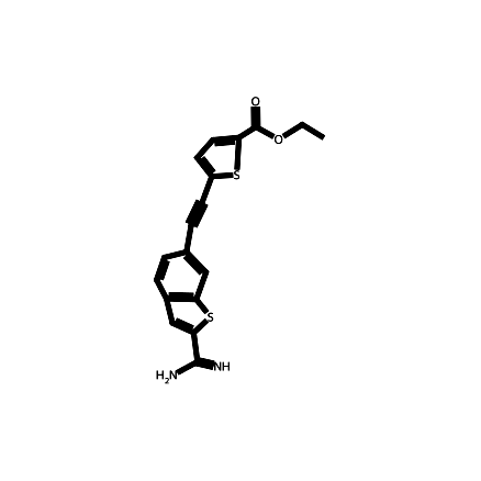 CCOC(=O)c1ccc(C#Cc2ccc3cc(C(=N)N)sc3c2)s1